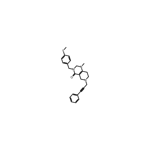 CSc1ccc(CN2CN(C)C3=C(CN(CC#Cc4ccccc4)CC3)C2=O)cc1